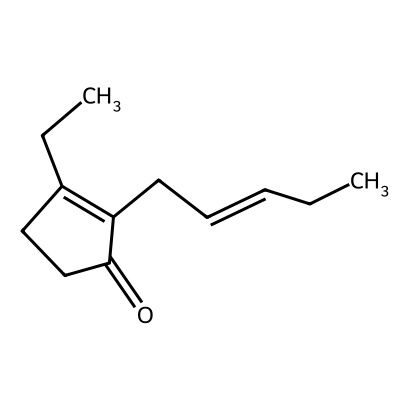 CCC=CCC1=C(CC)CCC1=O